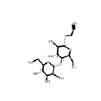 C#CCO[C@@H]1OC(CO)[C@@H](O[C@H]2OC(CO)[C@@H](O)[C@H](O)C2O)[C@H](O)C1O